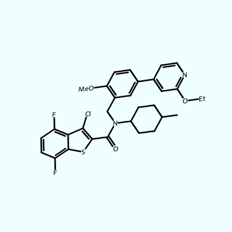 CCOc1cc(-c2ccc(OC)c(CN(C(=O)c3sc4c(F)ccc(F)c4c3Cl)C3CCC(C)CC3)c2)ccn1